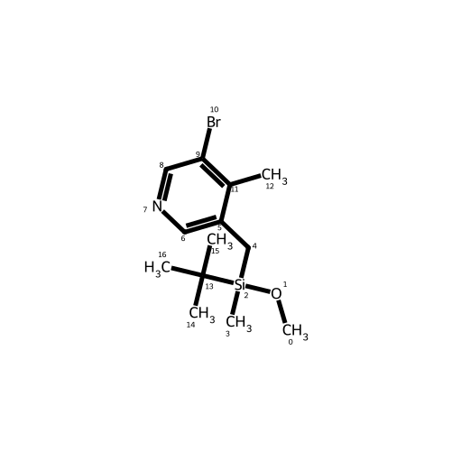 CO[Si](C)(Cc1cncc(Br)c1C)C(C)(C)C